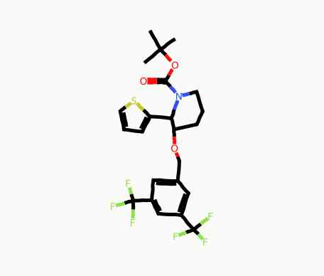 CC(C)(C)OC(=O)N1CCCC(OCc2cc(C(F)(F)F)cc(C(F)(F)F)c2)C1c1cccs1